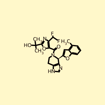 Cc1cccc2oc([C@H]3c4nc[nH]c4CCN3C(=O)c3oc(C(C)(C)O)nc3C(F)F)cc12